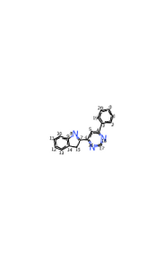 c1ccc(-c2cc(C3=Nc4ccccc4C3)ncn2)cc1